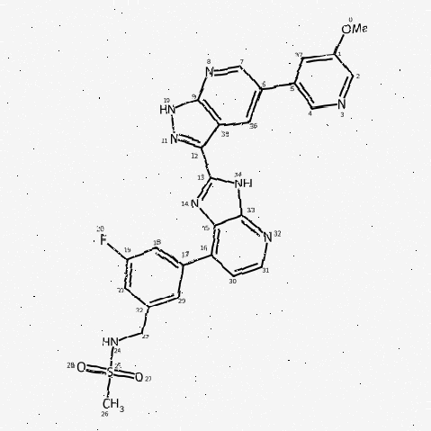 COc1cncc(-c2cnc3[nH]nc(-c4nc5c(-c6cc(F)cc(CNS(C)(=O)=O)c6)ccnc5[nH]4)c3c2)c1